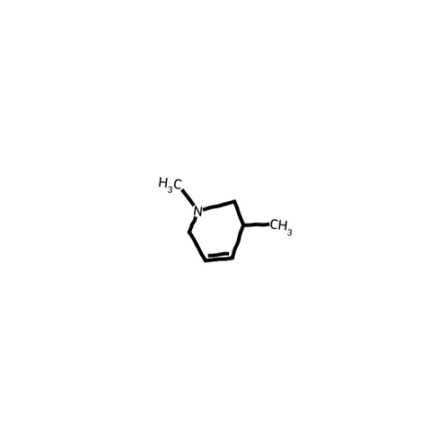 CC1C=CCN(C)C1